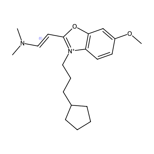 COc1ccc2c(c1)oc(/C=C/N(C)C)[n+]2CCCC1CCCC1